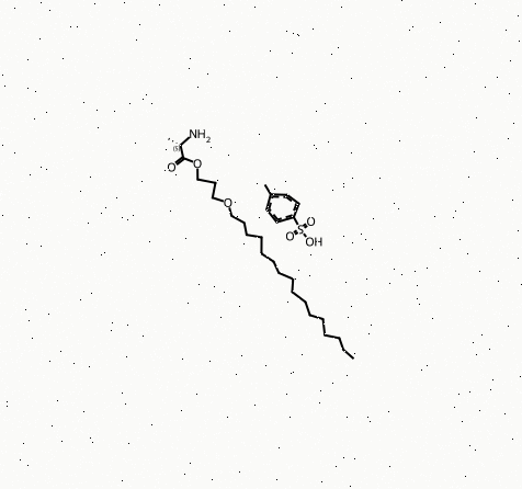 CCCCCCCCCCCCCCCCOCCCOC(=O)[C@H](C)N.Cc1ccc(S(=O)(=O)O)cc1